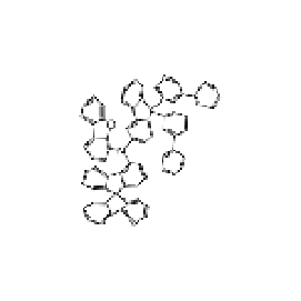 c1ccc(-c2cccc(C3(c4cccc(-c5ccccc5)c4)c4ccccc4-c4cc(N(c5cccc6c5-c5ccccc5C65c6ccccc6-c6ccccc65)c5cccc6c5oc5ccccc56)ccc43)c2)cc1